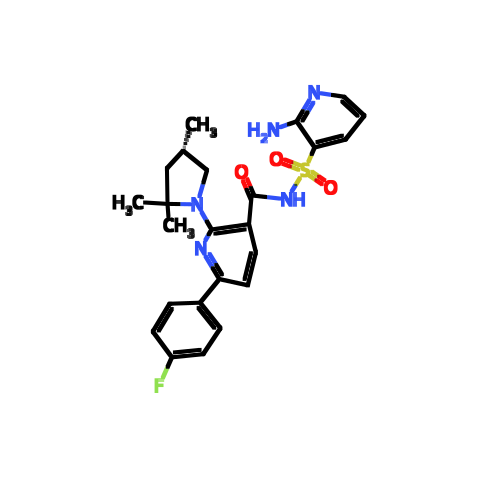 C[C@@H]1CN(c2nc(-c3ccc(F)cc3)ccc2C(=O)NS(=O)(=O)c2cccnc2N)C(C)(C)C1